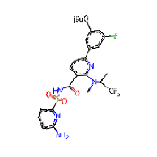 CC(C)COc1cc(F)cc(-c2ccc(C(=O)NS(=O)(=O)c3cccc(N)n3)c(N(C)C(C)C(F)(F)F)n2)c1